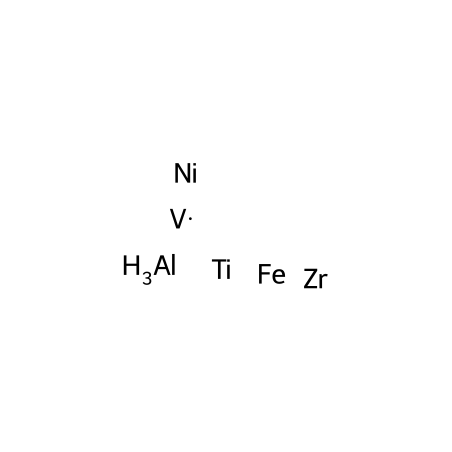 [AlH3].[Fe].[Ni].[Ti].[V].[Zr]